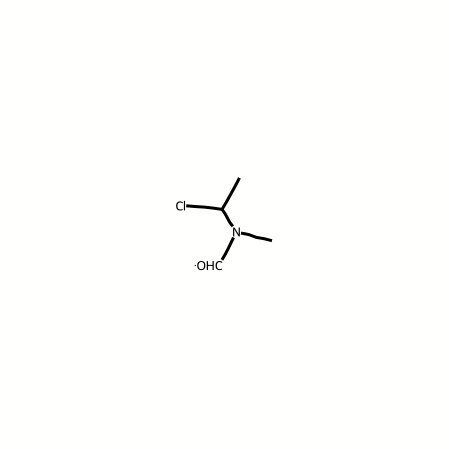 CC(Cl)N(C)[C]=O